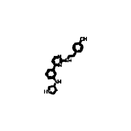 Oc1ccc(CCNc2nccc(-c3cccc(NC4CCNC4)c3)n2)cc1